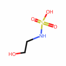 O=S(=O)(O)NCCO